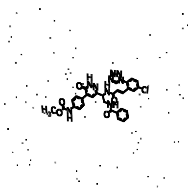 COC(=O)Nc1ccc(-c2cc(C(CNC(=O)c3ccccc3)NC(=O)C=Cc3cc(Cl)ccc3-n3cnnn3)n[nH]c2=O)cc1